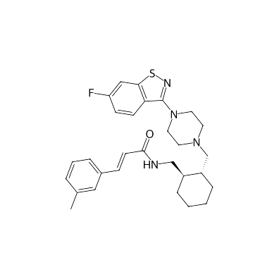 Cc1cccc(/C=C/C(=O)NC[C@@H]2CCCC[C@H]2CN2CCN(c3nsc4cc(F)ccc34)CC2)c1